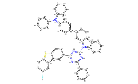 Fc1ccc2sc3ccc(-c4nc(-c5ccccc5)nc(-n5c6ccccc6c6ccc(-c7ccc8c(c7)c7ccccc7n8-c7ccccc7)cc65)n4)cc3c2c1